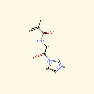 C=C(C)C(=O)NCC(=O)n1ccnc1